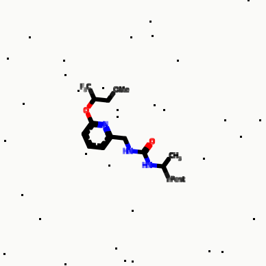 CCCCCC(C)NC(=O)NCc1cccc(OC(COC)C(F)(F)F)n1